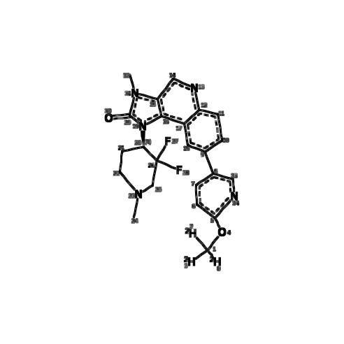 [2H]C([2H])([2H])Oc1ccc(-c2ccc3ncc4c(c3c2)n([C@@H]2CCN(C)CC2(F)F)c(=O)n4C)cn1